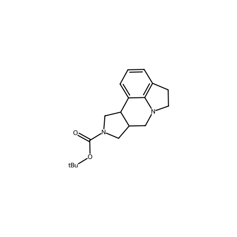 CC(C)(C)OC(=O)N1CC2CN3CCc4cccc(c43)C2C1